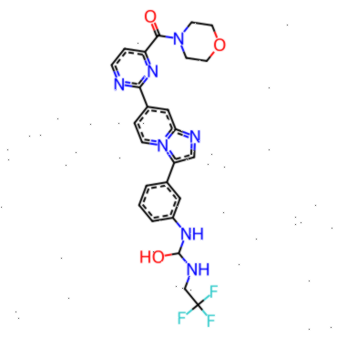 O=C(c1ccnc(-c2ccn3c(-c4cccc(NC(O)NCC(F)(F)F)c4)cnc3c2)n1)N1CCOCC1